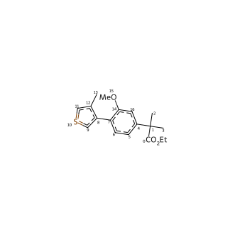 CCOC(=O)C(C)(C)c1ccc(-c2cscc2C)c(OC)c1